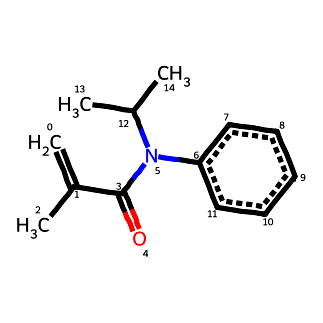 C=C(C)C(=O)N(c1cc[c]cc1)C(C)C